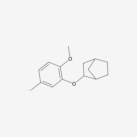 [CH2]c1ccc(OC)c(OC2CC3CCC2C3)c1